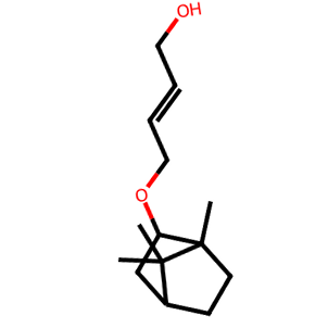 CC1(C)C2CCC1(C)C(OCC=CCO)C2